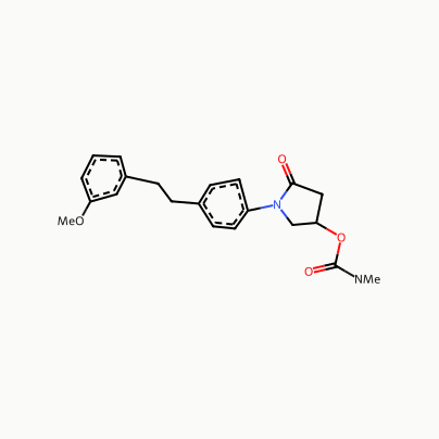 CNC(=O)OC1CC(=O)N(c2ccc(CCc3cccc(OC)c3)cc2)C1